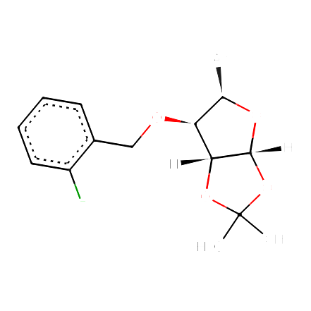 CC(=O)[C@H]1O[C@@H]2OC(C)(C)O[C@@H]2[C@H]1OCc1ccccc1F